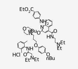 CCCCOc1cc(C(=O)NCCN(CC)CC)c2ccccc2n1.CCCCOc1ccc(OCCCN2CCOCC2)cc1.CCN(CC)CC(=O)Nc1c(C)cccc1C.CCOC(=O)c1ccc(N)cc1.Cl